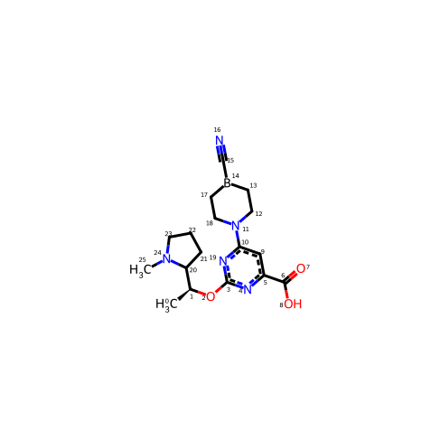 C[C@H](Oc1nc(C(=O)O)cc(N2CCB(C#N)CC2)n1)C1CCCN1C